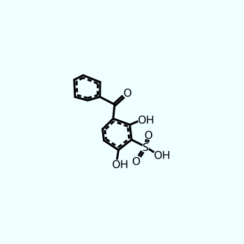 O=C(c1ccccc1)c1ccc(O)c(S(=O)(=O)O)c1O